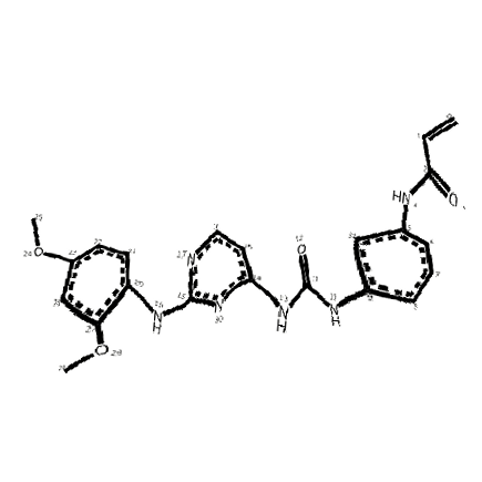 C=CC(=O)Nc1cccc(NC(=O)Nc2ccnc(Nc3ccc(OC)cc3OC)n2)c1